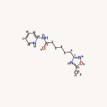 O=C(CCCCCc1noc(C(F)(F)F)n1)Nc1ccccn1